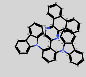 c1cc(-n2c3ccccc3c3ccccc32)c(-c2cnc3c4ccccc4c4ccccc4c3n2)c(-n2c3ccccc3c3ccccc32)c1